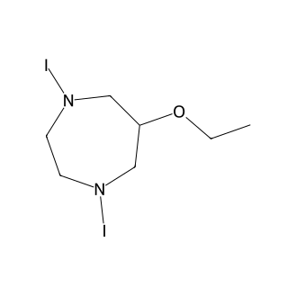 CCOC1CN(I)CCN(I)C1